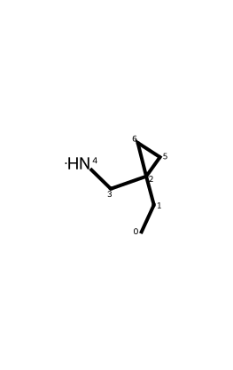 CCC1(C[NH])CC1